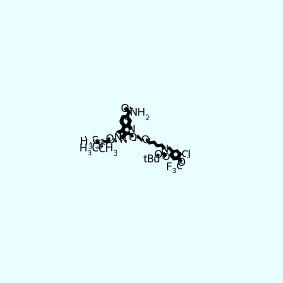 CC(C)(C)OC(=O)N(CCCCOCCOc1nc2cc(C(N)=O)ccc2c2cn(COCC[Si](C)(C)C)nc12)Cc1ccc(OC(F)(F)F)c(Cl)c1